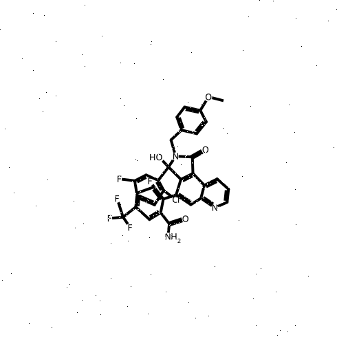 COc1ccc(CN2C(=O)c3c(c(-c4c(F)cc(C(F)(F)F)cc4C(N)=O)cc4ncccc34)C2(O)c2cc(F)ccc2Cl)cc1